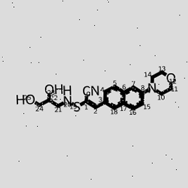 N#C/C(=C\c1ccc2cc(N3CCOCC3)ccc2c1)SNCC(O)CO